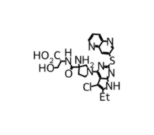 CCc1[nH]c2nc(Sc3cnc4cccnc4c3)nc(N3CCC(N)(C(=O)N[C@H](CO)C(=O)O)C3)c2c1Cl